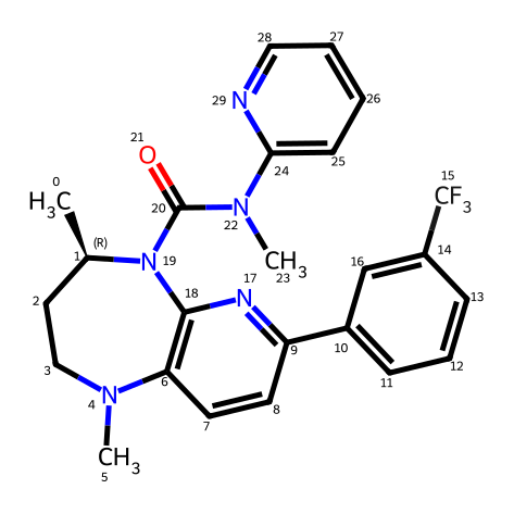 C[C@@H]1CCN(C)c2ccc(-c3cccc(C(F)(F)F)c3)nc2N1C(=O)N(C)c1ccccn1